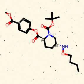 CCCCON[C@@H]1CC[C@@H](C(=O)Oc2ccc(C(=O)OC)cc2)N(C(=O)OC(C)(C)C)C1